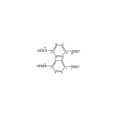 C#Cc1ccc(CCCCCC)cc1.C#Cc1ccc(CCCCCCCC)cc1